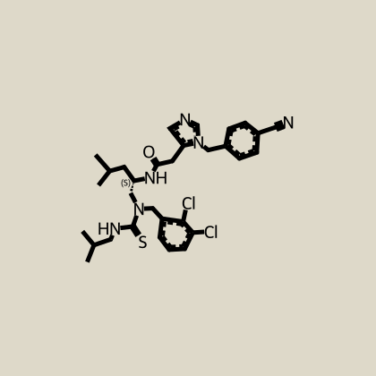 CC(C)CNC(=S)N(Cc1cccc(Cl)c1Cl)C[C@H](CC(C)C)NC(=O)Cc1cncn1Cc1ccc(C#N)cc1